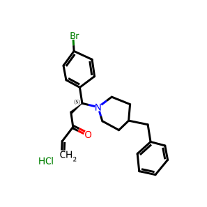 C=CC(=O)C[C@@H](c1ccc(Br)cc1)N1CCC(Cc2ccccc2)CC1.Cl